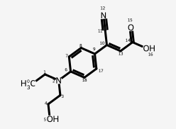 CCN(CCO)c1ccc(C(C#N)=CC(=O)O)cc1